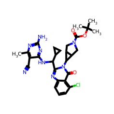 Cc1nc(N)nc(NC(c2nc3cccc(Cl)c3c(=O)n2C2C3CN(C(=O)OC(C)(C)C)CC32)C2CC2)c1C#N